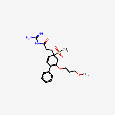 COCCCOC1=C(c2ccccc2)C=CC(CCC(=O)NC(=N)N)(S(C)(=O)=O)C1